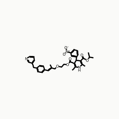 CC1=C(C(=O)OCCOC/C(C)=C/c2ccc(Cc3cccnc3)cc2)C(c2cccc([N+](=O)[O-])c2)C(C(=O)OC(C)C)=C(C)N1